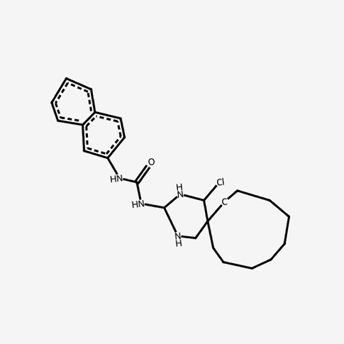 O=C(Nc1ccc2ccccc2c1)NC1NCC2(CCCCCCCCC2)C(Cl)N1